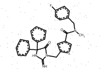 CN(Cc1ccc(F)cc1)C(=O)c1csc(CN2C(=N)NC(c3ccccc3)(c3ccccc3)C2=O)c1